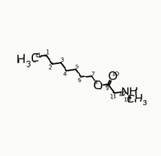 CCCCCCCCOC(=O)CNC